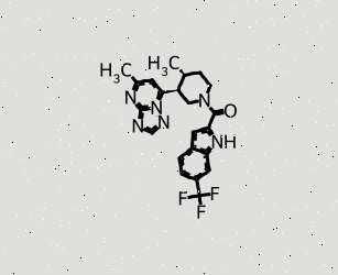 Cc1cc([C@@H]2CN(C(=O)c3cc4ccc(C(F)(F)F)cc4[nH]3)CC[C@@H]2C)n2ncnc2n1